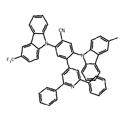 Cc1ccc2c(c1)c1ccccc1n2-c1cc(C#N)c(-n2c3ccccc3c3cc(C(F)(F)F)ccc32)cc1-c1cc(-c2ccccc2)nc(-c2ccccc2)c1